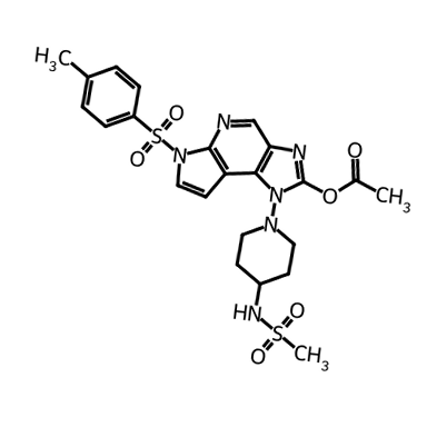 CC(=O)Oc1nc2cnc3c(ccn3S(=O)(=O)c3ccc(C)cc3)c2n1N1CCC(NS(C)(=O)=O)CC1